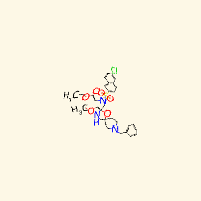 CCOC(=O)CN(CC1(COC)NCC2(CCN(Cc3ccccc3)CC2)O1)S(=O)(=O)c1ccc2cc(Cl)ccc2c1